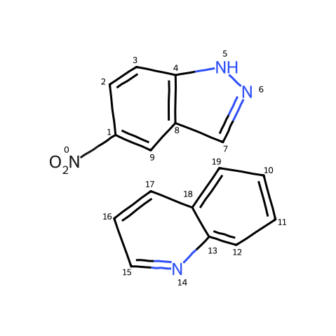 O=[N+]([O-])c1ccc2[nH]ncc2c1.c1ccc2ncccc2c1